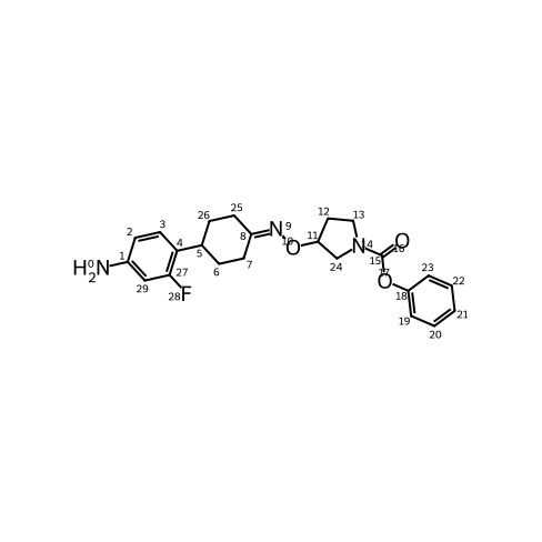 Nc1ccc(C2CCC(=NOC3CCN(C(=O)Oc4ccccc4)C3)CC2)c(F)c1